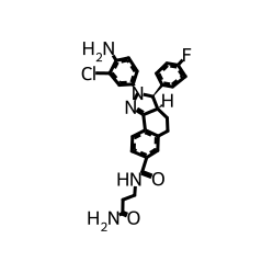 NC(=O)CCNC(=O)c1ccc2c(c1)CC[C@H]1C2=NN(c2ccc(N)c(Cl)c2)[C@H]1c1ccc(F)cc1